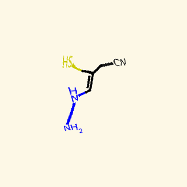 N#C/C(S)=C/NN